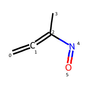 C=C=C(C)N=O